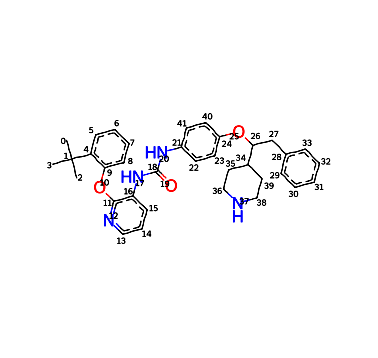 CC(C)(C)c1ccccc1Oc1ncccc1NC(=O)Nc1ccc(OC(Cc2ccccc2)C2CCNCC2)cc1